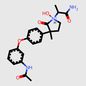 CC(=O)Nc1cccc(Oc2ccc(C3(C)CC[N@@+](O)(C(C)C(N)=O)C3=O)cc2)c1